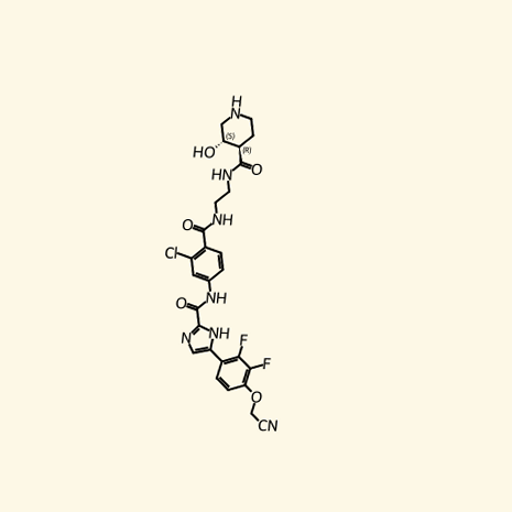 N#CCOc1ccc(-c2cnc(C(=O)Nc3ccc(C(=O)NCCNC(=O)[C@@H]4CCNC[C@H]4O)c(Cl)c3)[nH]2)c(F)c1F